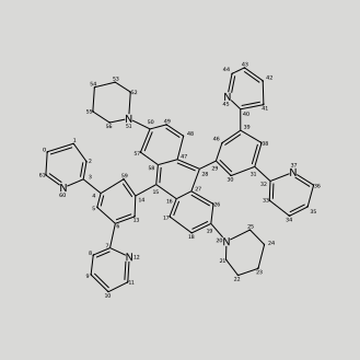 c1ccc(-c2cc(-c3ccccn3)cc(-c3c4ccc(N5CCCCC5)cc4c(-c4cc(-c5ccccn5)cc(-c5ccccn5)c4)c4ccc(N5CCCCC5)cc34)c2)nc1